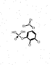 CCN(CC)CC.O=P(O)(O)Oc1cccc(Cl)c1Cl